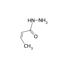 C/C=C\C(=O)NN